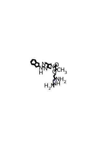 CC(OCC/C(N)=C/NN)C(=O)N1Cc2cnc(NC3Cc4ccccc4C3)nc2C1